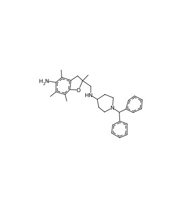 Cc1c(C)c2c(c(C)c1N)CC(C)(CNC1CCN(C(c3ccccc3)c3ccccc3)CC1)O2